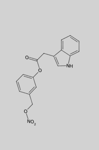 O=C(Cc1c[nH]c2ccccc12)Oc1cccc(CO[N+](=O)[O-])c1